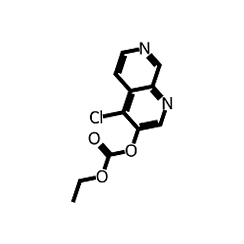 CCOC(=O)Oc1cnc2cnccc2c1Cl